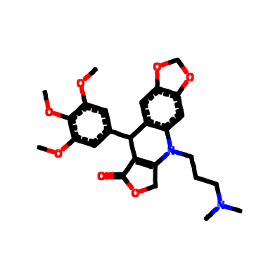 COc1cc(C2C3=C(COC3=O)N(CCCN(C)C)c3cc4c(cc32)OCO4)cc(OC)c1OC